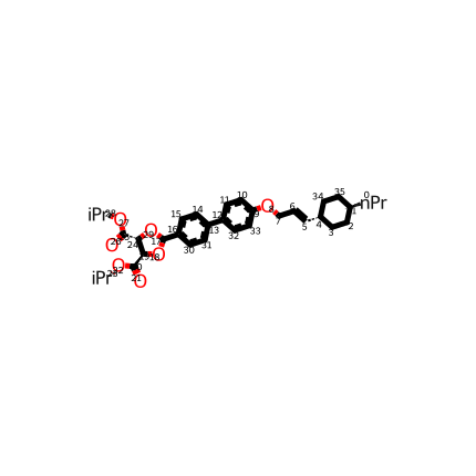 CCC[C@H]1CC[C@H](C=CCOc2ccc(-c3ccc(C4O[C@@H](C(=O)OC(C)C)[C@H](C(=O)OC(C)C)O4)cc3)cc2)CC1